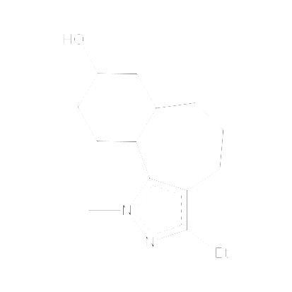 CCc1nn(C)c2c1CCCC1CC(O)CCC21